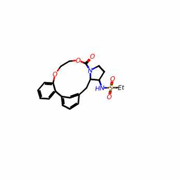 CCS(=O)(=O)NC1CCN2C(=O)OCCOc3ccccc3-c3cccc(c3)CC12